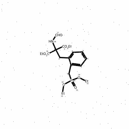 CCOC(=O)C(Cc1ccccc1CP(=O)(OCC)OCC)(NC=O)C(=O)OCC